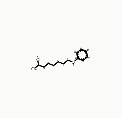 ClC(Cl)CCCCCCOc1cc[c]cc1